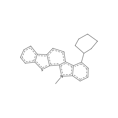 Cn1c2cccc(C3CCCCC3)c2c2ccc3c4ccccc4sc3c21